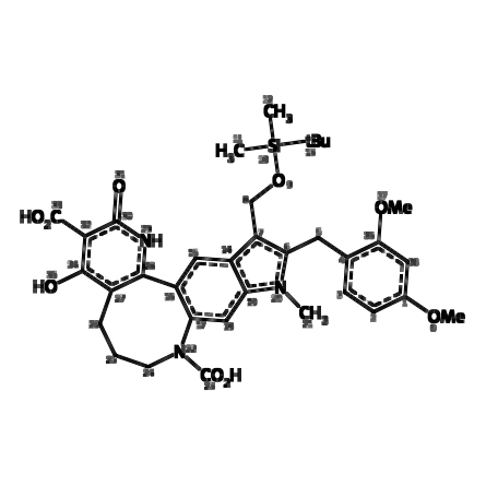 COc1ccc(Cc2c(CO[Si](C)(C)C(C)(C)C)c3cc4c(cc3n2C)N(C(=O)O)CCCc2c-4[nH]c(=O)c(C(=O)O)c2O)c(OC)c1